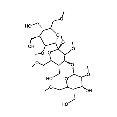 COCC1O[C@H](O[C@@H]2C(OC)[C@@](OC)([C@H]3OC(COC)[C@@H](CO)[C@H](CO)C3OC)OC(COC)[C@H]2CO)C(OC)[C@@H](O)[C@@H]1CO